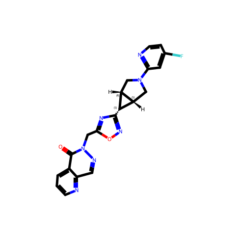 O=c1c2cccnc2cnn1Cc1nc([C@@H]2[C@@H]3CN(c4cc(F)ccn4)C[C@@H]32)no1